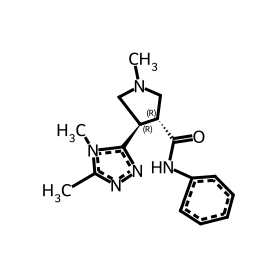 Cc1nnc([C@H]2CN(C)C[C@@H]2C(=O)Nc2ccccc2)n1C